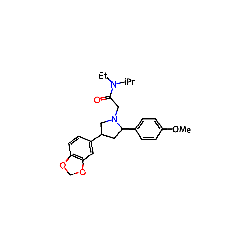 CCN(C(=O)CN1CC(c2ccc3c(c2)OCO3)CC1c1ccc(OC)cc1)C(C)C